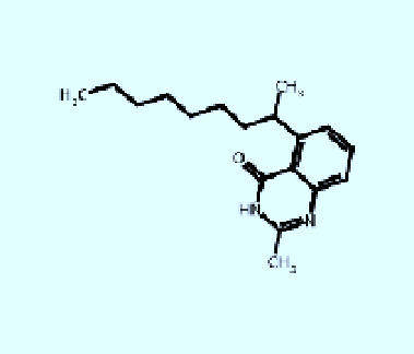 CCCCCCCC(C)c1cccc2nc(C)[nH]c(=O)c12